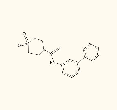 O=C(Nc1cccc(-c2cccnc2)c1)N1CCS(=O)(=O)CC1